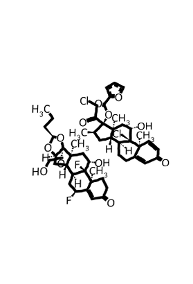 CCC[C@@H]1O[C@@H]2C[C@H]3[C@@H]4C[C@H](F)C5=CC(=O)CC[C@]5(C)[C@@]4(F)[C@@H](O)C[C@]3(C)[C@]2(C(=O)CO)O1.C[C@@H]1C[C@H]2[C@@H]3CCC4=CC(=O)C=C[C@]4(C)[C@@]3(Cl)[C@@H](O)C[C@]2(C)[C@@]1(OC(=O)c1ccco1)C(=O)CCl